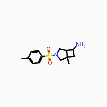 Cc1ccc(S(=O)(=O)N2CC3C(N)CC3(C)C2)cc1